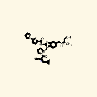 C[C@@H](CO)NCc1ccc2c(c1)nc(NC(=O)c1ccc(-n3cccn3)s1)n2C[C@H]1CCCN1C(=O)/C(C#N)=C\C1CC1